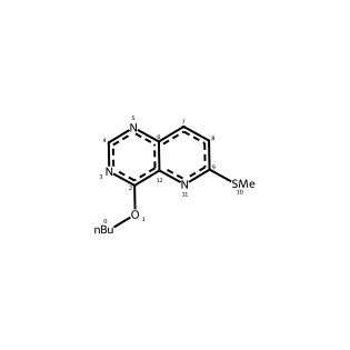 CCCCOc1ncnc2ccc(SC)nc12